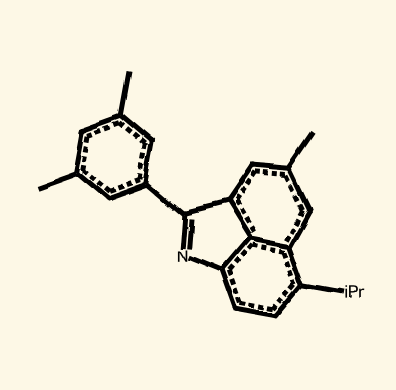 Cc1cc(C)cc(C2=Nc3ccc(C(C)C)c4cc(C)cc2c34)c1